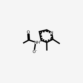 CC(=O)[NH+]([O-])c1ccnc(C)c1C